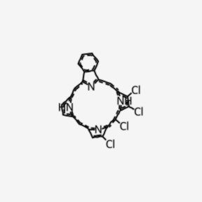 ClC1=Cc2cc3ccc(cc4nc(cc5[nH]c(c(Cl)c1n2)c(Cl)c5Cl)-c1ccccc1-4)[nH]3